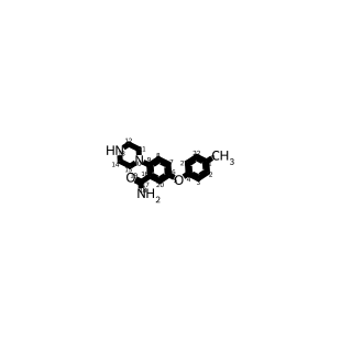 Cc1ccc(Oc2ccc(N3CCNCC3)c(C(N)=O)c2)cc1